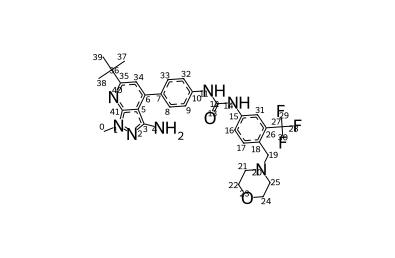 Cn1nc(N)c2c(-c3ccc(NC(=O)Nc4ccc(CN5CCOCC5)c(C(F)(F)F)c4)cc3)cc(C(C)(C)C)nc21